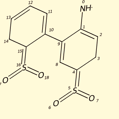 [NH]C1=CCC(=S(=O)=O)C=C1C1=CC=CCC1=S(=O)=O